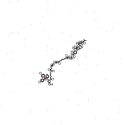 COC(=O)[C@H](CCC(=O)NCCCCCC(=O)NCCSSC(C)(C)CCC(=O)NCCCCCC(=O)N1C[C@H](O)C[C@H]1COC(c1ccccc1)(c1ccc(OC)cc1)c1ccc(OC)cc1)NC(=O)c1ccc(N(Cc2cnc3nc(NC(=O)C(C)C)[nH]c(=O)c3n2)C(=O)C(F)(F)F)cc1